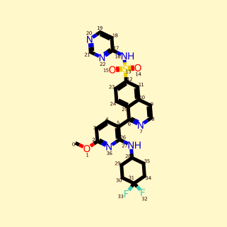 COc1ccc(-c2nccc3cc(S(=O)(=O)Nc4ccncn4)ccc23)c(NC2CCC(F)(F)CC2)n1